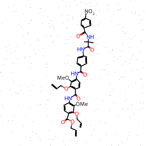 C=CCOC(=O)c1ccc(NC(=O)c2ccc(NC(=O)c3ccc(NC(=O)C(C)(C)NC(=O)c4ccc([N+](=O)[O-])cc4)cc3)c(OC)c2OCC=C)c(OC)c1OCC=C